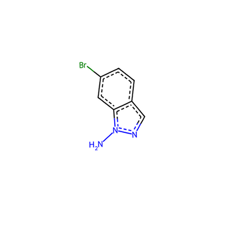 Nn1ncc2ccc(Br)cc21